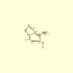 CCc1cc(C)c2sccc2c1N